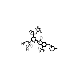 CC1CCCN(Cc2cc3c(c(C(F)(F)F)c2)CN(c2cc(C4(Cc5nncn5C)COC4)cc(N(CC#N)C(=O)O)n2)C3=O)C1